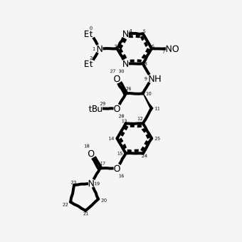 CCN(CC)c1ncc(N=O)c(N[C@@H](Cc2ccc(OC(=O)N3CCCC3)cc2)C(=O)OC(C)(C)C)n1